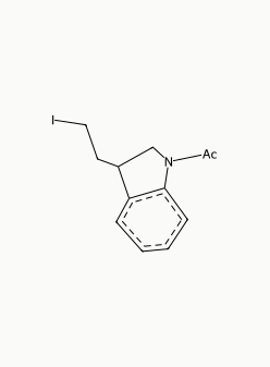 CC(=O)N1CC(CCI)c2ccccc21